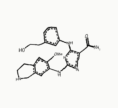 COc1cc2c(cc1Nc1ncc(C(N)=O)c(Nc3cccc(CCO)c3)n1)CNCC2